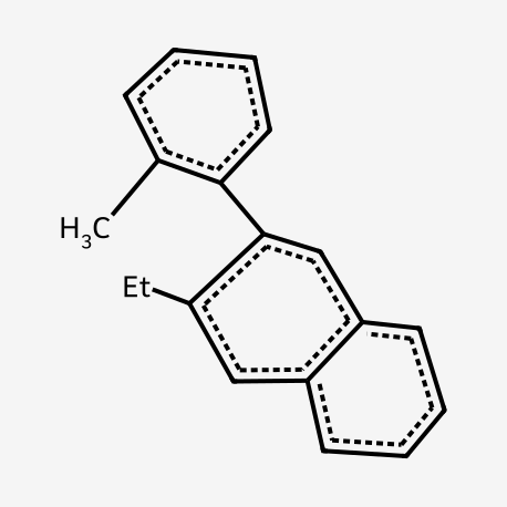 CCc1cc2ccccc2cc1-c1ccccc1C